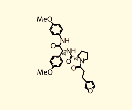 COc1ccc(NC(=O)[C@@H](NC(=O)[C@@H]2CCCN2C(=O)CCc2ccoc2)c2ccc(OC)cc2)cc1